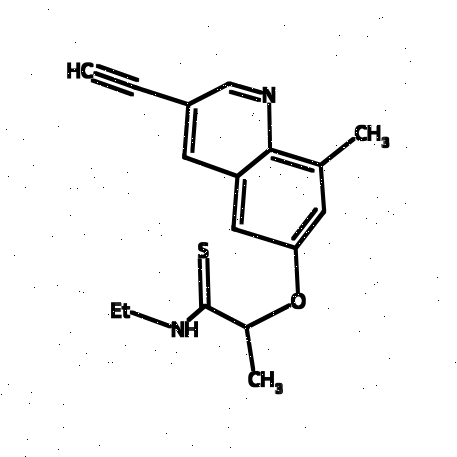 C#Cc1cnc2c(C)cc(OC(C)C(=S)NCC)cc2c1